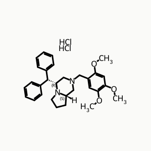 COc1cc(OC)c(OC)cc1CN1C[C@@H]2CCCN2[C@H](C(c2ccccc2)c2ccccc2)C1.Cl.Cl